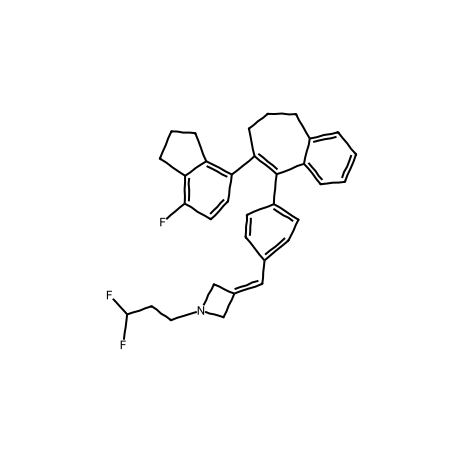 Fc1ccc(C2=C(c3ccc(C=C4CN(CCC(F)F)C4)cc3)c3ccccc3CCC2)c2c1CCC2